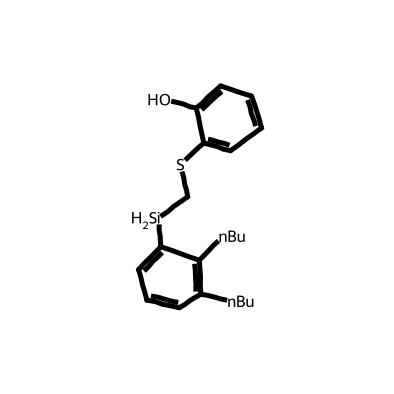 CCCCc1cccc([SiH2]CSc2ccccc2O)c1CCCC